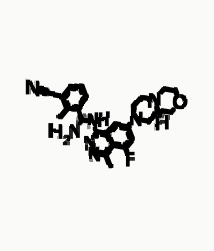 Cc1c(C#N)cccc1[C@@H](N)Nc1nnc(C)c2c(F)cc(N3CCN4CCOC[C@@H]4C3)cc12